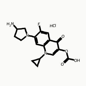 Cl.NC1CCN(c2cc3c(cc2F)c(=O)c(OC(=O)O)cn3C2CC2)C1